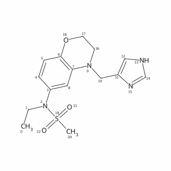 CCN(c1ccc2c(c1)N(Cc1c[nH]cn1)CCO2)S(C)(=O)=O